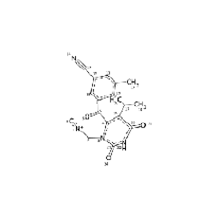 [C-]#[N+]Cn1c(C(=O)c2cc(C)cc(C#N)c2)c(C(C)C)c(=O)[nH]c1=O